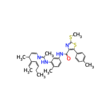 C/C=C(\C=C/CC)C(C)/C=C\N=C(/C)Nc1cc(NC(=O)c2nc(SC)sc2-c2ccc(C)cc2)ccc1C